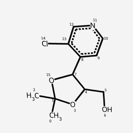 CC1(C)OC(CO)C(c2ccncc2Cl)O1